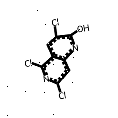 Oc1nc2cc(Cl)nc(Cl)c2cc1Cl